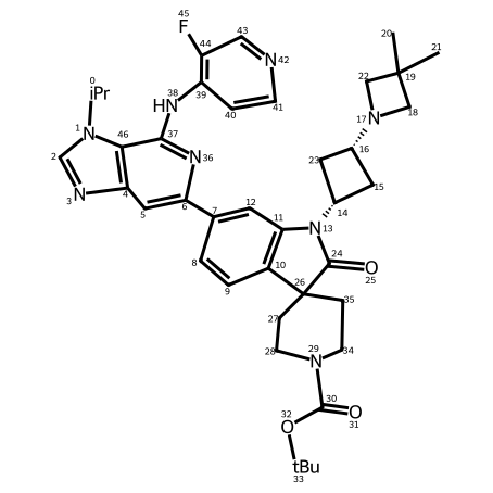 CC(C)n1cnc2cc(-c3ccc4c(c3)N([C@H]3C[C@@H](N5CC(C)(C)C5)C3)C(=O)C43CCN(C(=O)OC(C)(C)C)CC3)nc(Nc3ccncc3F)c21